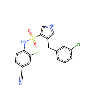 N#Cc1ccc(NS(=O)(=O)c2c[nH]cc2Cc2cccc(Cl)c2)c(F)c1